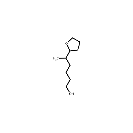 CC(CCCCO)C1OCCO1